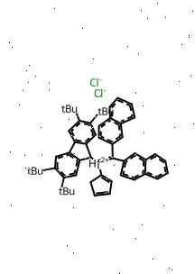 CC(C)(C)c1cc2c(cc1C(C)(C)C)[CH]([Hf+2]([C]1=CC=CC1)=[C](c1ccc3ccccc3c1)c1ccc3ccccc3c1)c1cc(C(C)(C)C)c(C(C)(C)C)cc1-2.[Cl-].[Cl-]